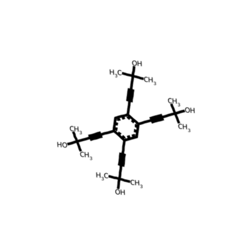 CC(C)(O)C#Cc1cc(C#CC(C)(C)O)c(C#CC(C)(C)O)cc1C#CC(C)(C)O